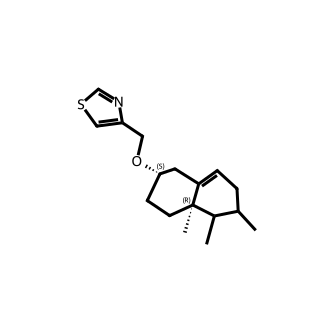 CC1CC=C2C[C@@H](OCc3cscn3)CC[C@]2(C)C1C